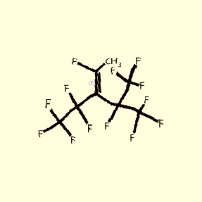 C/C(F)=C(/C(F)(F)C(F)(F)F)C(F)(C(F)(F)F)C(F)(F)F